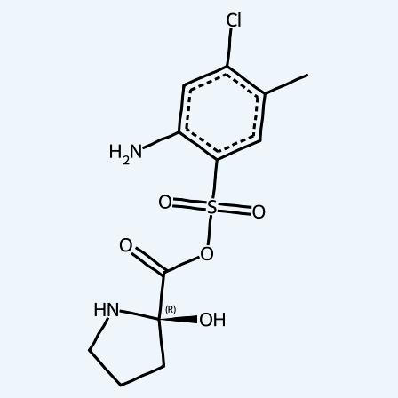 Cc1cc(S(=O)(=O)OC(=O)[C@]2(O)CCCN2)c(N)cc1Cl